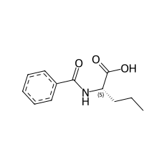 CCC[C@H](NC(=O)c1ccccc1)C(=O)O